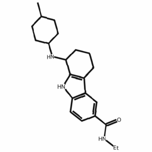 CCNC(=O)c1ccc2[nH]c3c(c2c1)CCCC3NC1CCC(C)CC1